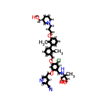 Cc1c(COc2cc(OCc3cncc(C#N)c3)c(CNC(C)(CO)CO)cc2Cl)cccc1-c1cccc(OCCCN2CCC[C@H](CO)C2)c1C